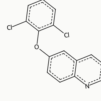 Clc1cccc(Cl)c1Oc1ccc2ncccc2c1